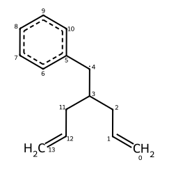 C=CCC([CH]c1ccccc1)CC=C